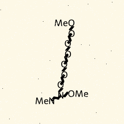 CNCCN(CCOC)CCOCCOCCOCCOCCOCCOCCOC